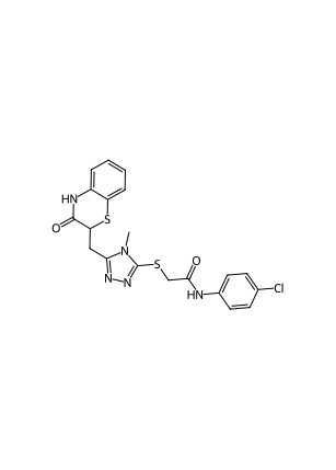 Cn1c(CC2Sc3ccccc3NC2=O)nnc1SCC(=O)Nc1ccc(Cl)cc1